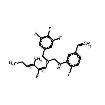 C=Cc1ccc(F)c(NCN(/C=C(F)\C(C)=C\CC)Cc2cc(F)c(F)c(F)c2)c1